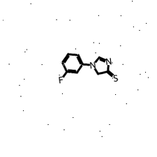 Fc1cccc(N2C=NC(=S)C2)c1